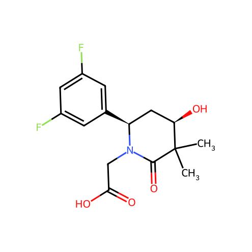 CC1(C)C(=O)N(CC(=O)O)[C@@H](c2cc(F)cc(F)c2)C[C@H]1O